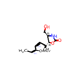 C=C(/C=C\C(=C/C)OC)[C@H]1OC(=O)N[C@@H]1CO